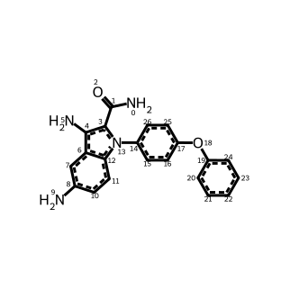 NC(=O)c1c(N)c2cc(N)ccc2n1-c1ccc(Oc2ccccc2)cc1